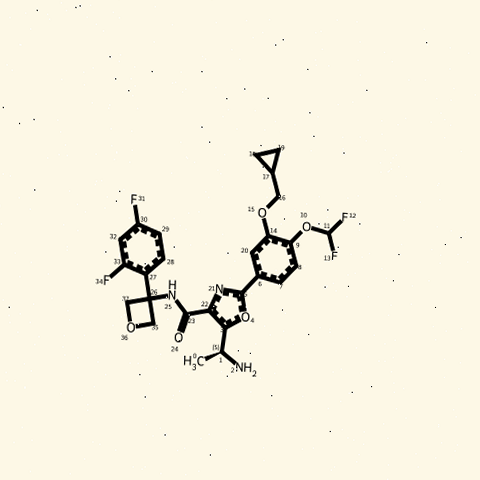 C[C@H](N)c1oc(-c2ccc(OC(F)F)c(OCC3CC3)c2)nc1C(=O)NC1(c2ccc(F)cc2F)COC1